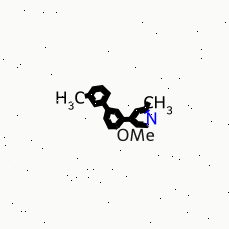 COc1ccc(-c2cccc(C)c2)cc1-c1ccnc(C)c1